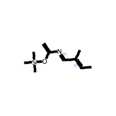 C=C(/N=C/C(C)=C/C)O[Si](C)(C)C